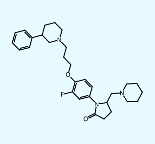 O=C1CCC(CN2CCCCC2)N1c1ccc(OCCCN2CCCC(c3ccccc3)C2)c(F)c1